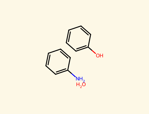 Nc1ccccc1.O.Oc1ccccc1